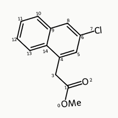 COC(=O)Cc1cc(Cl)cc2ccccc12